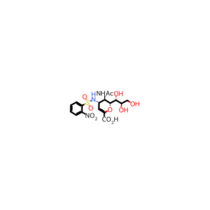 CC(=O)N[C@H]1[C@H]([C@H](O)[C@H](O)CO)OC(C(=O)O)=C[C@@H]1NS(=O)(=O)c1ccccc1[N+](=O)[O-]